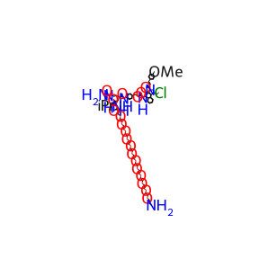 COc1ccc(/C=C/C(=O)N2CC(CCl)c3c2cc(NC(=O)OCc2ccc(NC(=O)C(CCCNC(N)=O)CC(=O)C(NC(=O)CCOCCOCCOCCOCCOCCOCCOCCOCCOCCOCCOCCOCCN)C(C)C)cc2)c2ccccc32)cc1